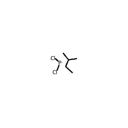 CCC(C)C.Cl[P]Cl